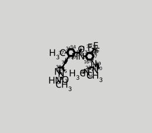 CNC(=O)n1cc(C#Cc2cc(C(=O)Nc3cc(-n4ccnc4CN(C)C)cc(C(F)(F)F)c3)ccc2C)cn1